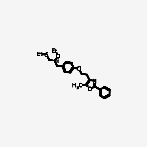 CCO[C@H](CSCC)Cc1ccc(OCCc2nc(-c3ccccc3)oc2C)cc1